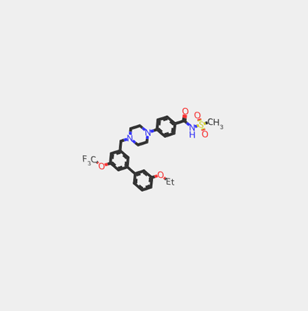 CCOc1cccc(-c2cc(CN3CCN(c4ccc(C(=O)NS(C)(=O)=O)cc4)CC3)cc(OC(F)(F)F)c2)c1